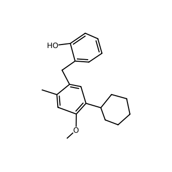 COc1cc(C)c(Cc2ccccc2O)cc1C1CCCCC1